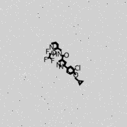 O=C(NCc1cccnc1OC(F)C(F)F)c1cnnc(-c2ccc(OCC3CC3)c(Cl)c2)c1